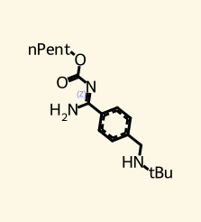 CCCCCOC(=O)/N=C(\N)c1ccc(CNC(C)(C)C)cc1